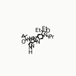 CCC1(CC)C(=O)N(C(C)C)c2cc3nc(-c4n[nH]cc4NC(=O)C4(C)CC4)[nH]c3cc21